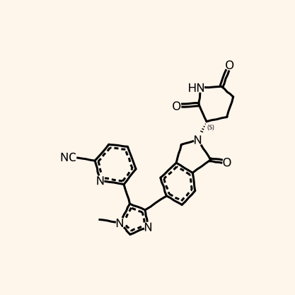 Cn1cnc(-c2ccc3c(c2)CN([C@H]2CCC(=O)NC2=O)C3=O)c1-c1cccc(C#N)n1